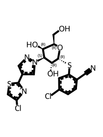 N#Cc1ccc(Cl)cc1S[C@H]1O[C@H](CO)[C@H](O)[C@H](n2cc(-c3nc(Cl)cs3)cn2)[C@H]1O